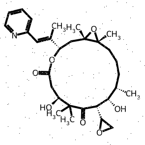 CC(=Cc1ccccn1)[C@@H]1C[C@]2(C)O[C@]2(C)CCC[C@H](C)[C@H](O)[C@H](C2CO2)C(=O)C(C)(C)[C@@H](O)CC(=O)O1